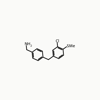 CSc1ccc(Cc2ccc(CN)cc2)cc1Cl